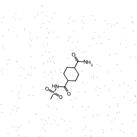 CS(=O)(=O)NC(=O)C1CCC(C(N)=O)CC1